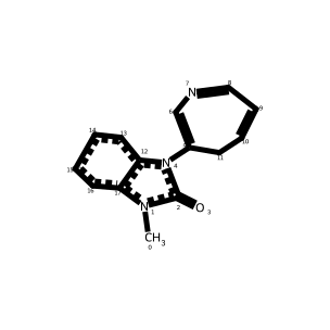 Cn1c(=O)n(C2=CN=CC=CC2)c2ccccc21